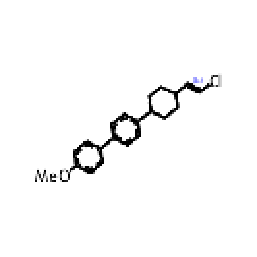 COc1ccc(-c2ccc(C3CCC(/C=C/Cl)CC3)cc2)cc1